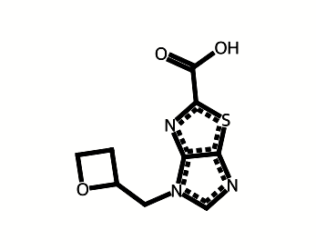 O=C(O)c1nc2c(ncn2CC2CCO2)s1